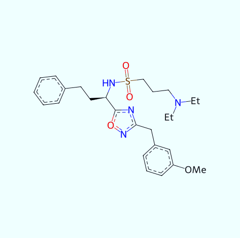 CCN(CC)CCCS(=O)(=O)N[C@H](CCc1ccccc1)c1nc(Cc2cccc(OC)c2)no1